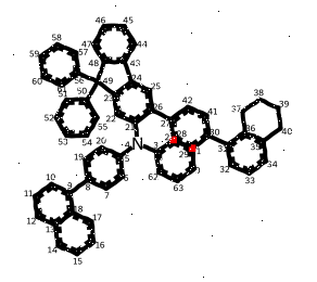 c1ccc(N(c2ccc(-c3cccc4ccccc34)cc2)c2cc3c(cc2-c2ccc(-c4cccc5c4CCCC5)cc2)-c2ccccc2C3(c2ccccc2)c2ccccc2)cc1